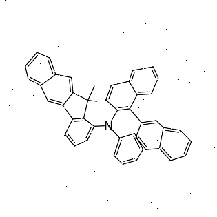 CC1(C)c2cc3ccccc3cc2-c2cccc(N(c3ccccc3)c3ccc4ccccc4c3-c3ccc4ccccc4c3)c21